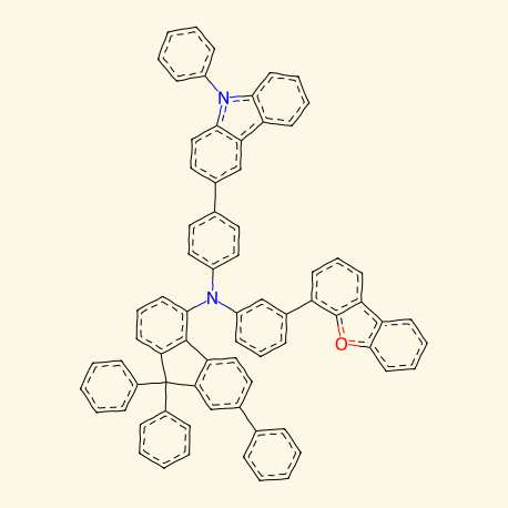 c1ccc(-c2ccc3c(c2)C(c2ccccc2)(c2ccccc2)c2cccc(N(c4ccc(-c5ccc6c(c5)c5ccccc5n6-c5ccccc5)cc4)c4cccc(-c5cccc6c5oc5ccccc56)c4)c2-3)cc1